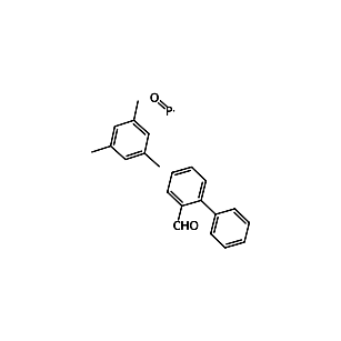 Cc1cc(C)cc(C)c1.O=Cc1ccccc1-c1ccccc1.O=[P]